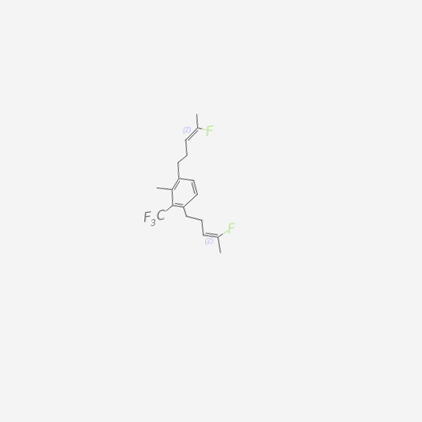 C/C(F)=C/CCc1ccc(CC/C=C(/C)F)c(C(F)(F)F)c1C